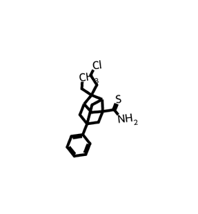 CCC1(CCCl)C2CC3(c4ccccc4)CC1C(C(N)=S)(C2)C3